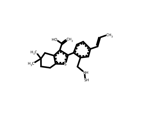 C=C(O)c1c(-c2ccc(/C=C/C)cc2CNS)sc2c1CC(C)(C)CC2